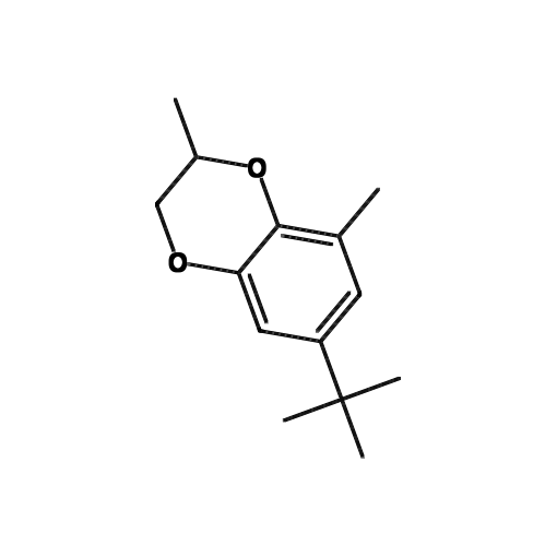 Cc1cc(C(C)(C)C)cc2c1OC(C)CO2